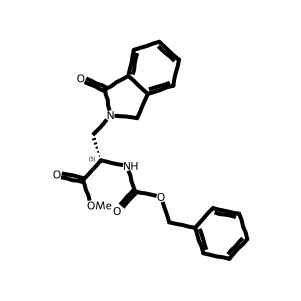 COC(=O)[C@H](CN1Cc2ccccc2C1=O)NC(=O)OCc1ccccc1